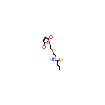 CCCC(=O)NCCOCCN1C(=O)C=CC1=O